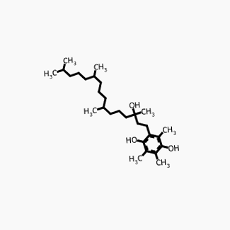 Cc1c(C)c(O)c(CCC(C)(O)CCCC(C)CCCC(C)CCCC(C)C)c(C)c1O